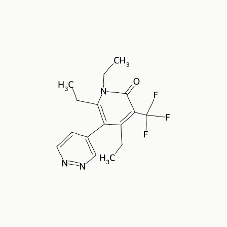 CCc1c(-c2ccnnc2)c(CC)n(CC)c(=O)c1C(F)(F)F